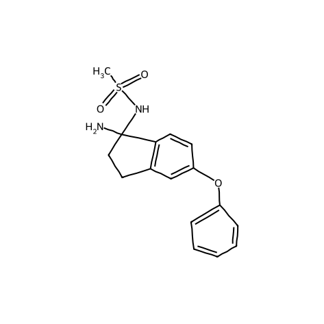 CS(=O)(=O)NC1(N)CCc2cc(Oc3ccccc3)ccc21